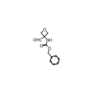 O=CC1(NC(=O)OCc2ccccc2)COC1